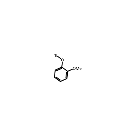 COc1ccccc1[O][Ti]